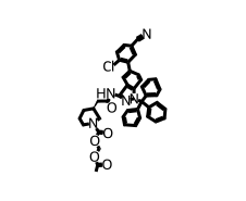 CC(=O)OCOC(=O)N1CCC[C@@H](CC(=O)Nc2nn(C(c3ccccc3)(c3ccccc3)c3ccccc3)c3ccc(-c4cc(C#N)ccc4Cl)cc23)C1